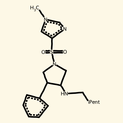 CCCC(C)CNC1CN(S(=O)(=O)c2cn(C)cn2)CC1c1ccccc1